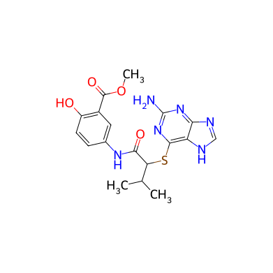 COC(=O)c1cc(NC(=O)C(Sc2nc(N)nc3nc[nH]c23)C(C)C)ccc1O